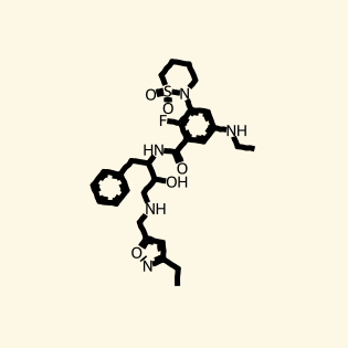 CCNc1cc(C(=O)NC(Cc2ccccc2)C(O)CNCc2cc(CC)no2)c(F)c(N2CCCCS2(=O)=O)c1